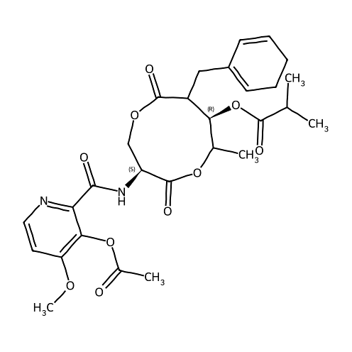 COc1ccnc(C(=O)N[C@H]2COC(=O)C(CC3=CCCC=C3)[C@@H](OC(=O)C(C)C)C(C)OC2=O)c1OC(C)=O